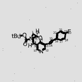 CC(C)(C)OC(=O)N1C[C@@H]2C[C@H]1c1cncc(C#Cc3ccc(F)cc3)c1O2